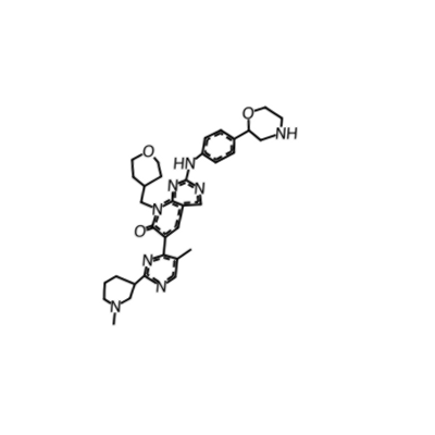 Cc1cnc(C2CCCN(C)C2)nc1-c1cc2cnc(Nc3ccc(C4CNCCO4)cc3)nc2n(CC2CCOCC2)c1=O